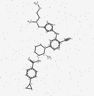 COCCN(C)Cc1cc(Nc2nc(N3CCC[C@@H](NC(=O)c4ccc(C5CC5)cc4)[C@H]3C)cnc2C#N)sn1